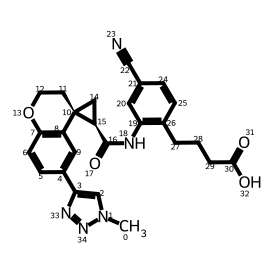 Cn1cc(-c2ccc3c(c2)[C@]2(CCO3)C[C@H]2C(=O)Nc2cc(C#N)ccc2CCCC(=O)O)nn1